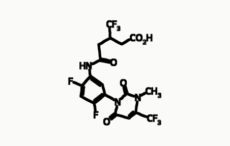 Cn1c(C(F)(F)F)cc(=O)n(-c2cc(NC(=O)CC(CC(=O)O)C(F)(F)F)c(F)cc2F)c1=O